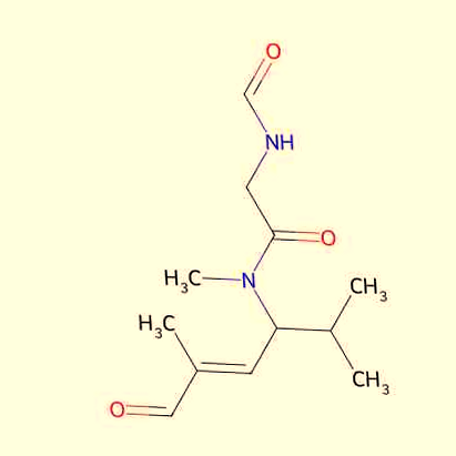 C/C(C=O)=C\C(C(C)C)N(C)C(=O)CNC=O